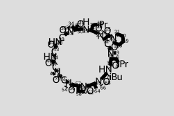 CC[C@H](C)C1NC(=O)C(CC(C)C)N(C)C(=O)CC(C(=O)N2CCCCC2)N(C)C(=O)C(CC(C)C)NC(=O)C(C)(C)N(C)C(=O)CNC(=O)CNC(=O)CN(C)C(=O)CN(C)C(=O)C2CCN2C(=O)C(C)N(C)C1=O